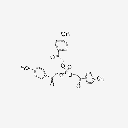 O=C(COP(=O)(OCC(=O)c1ccc(O)cc1)OCC(=O)c1ccc(O)cc1)c1ccc(O)cc1